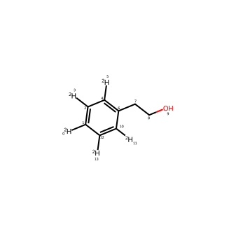 [2H]c1c([2H])c([2H])c(CCO)c([2H])c1[2H]